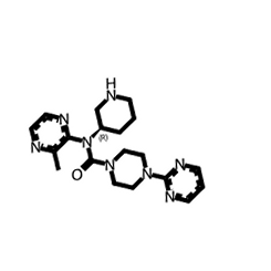 Cc1nccnc1N(C(=O)N1CCN(c2ncccn2)CC1)[C@@H]1CCCNC1